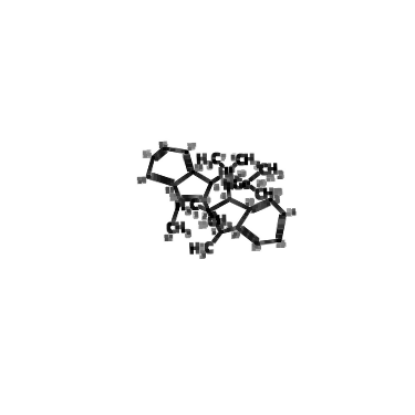 CC1=C(C)[CH]([Hf]([CH3])([CH3])([CH]2C(C)=C(C)c3ccccc32)[GeH]([CH3])[CH3])c2ccccc21